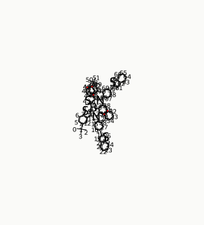 CC(C)(C)c1ccc2sc3c(c2c1)N(c1ccc(-c2cc4ccccc4s2)cc1-c1ccccc1)c1cccc2c1B3c1sc3ccc(C(C)(C)C)cc3c1N2c1ccc(-c2cc3ccccc3s2)cc1-c1ccccc1